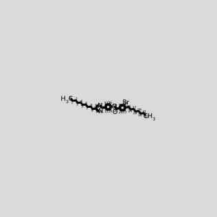 CCCCCCCCCCc1cnc(-c2ccc(OC(=O)c3ccc(CCCCCCCC)c(Br)c3)cc2)nc1